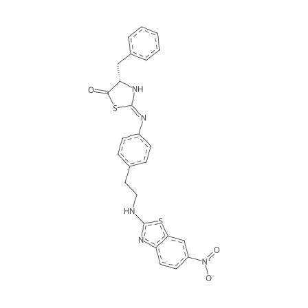 O=C1S/C(=N\c2ccc(CCNc3nc4ccc([N+](=O)[O-])cc4s3)cc2)N[C@H]1Cc1ccccc1